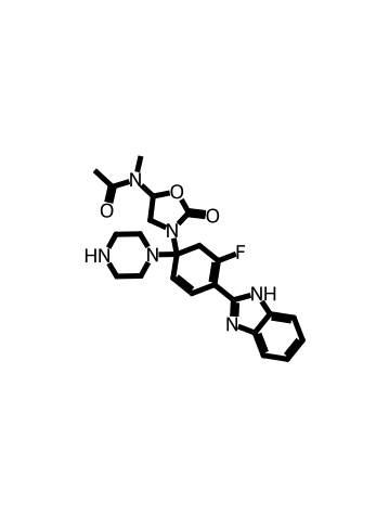 CC(=O)N(C)C1CN(C2(N3CCNCC3)C=CC(c3nc4ccccc4[nH]3)=C(F)C2)C(=O)O1